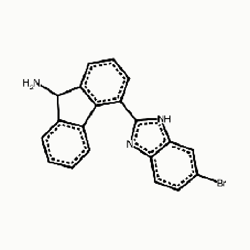 NC1c2ccccc2-c2c(-c3nc4ccc(Br)cc4[nH]3)cccc21